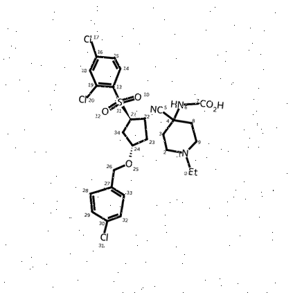 CCN1CCC(C#N)(NC(=O)O)CC1.O=S(=O)(c1ccc(Cl)cc1Cl)[C@H]1CC[C@H](OCc2ccc(Cl)cc2)C1